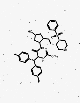 COC(=O)NC(C(=O)NC1CC(O)CC1CC[C@H]1CNCCN1S(=O)(=O)c1ccccc1)C(c1ccc(F)cc1)c1ccc(F)cc1